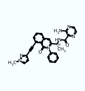 C[C@@H](NC(=O)c1nccnc1N)c1cc2cccc(C#Cc3ccn(C)n3)c2c(=O)n1-c1ccccc1